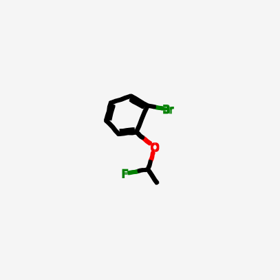 CC(F)Oc1ccccc1Br